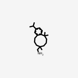 CC(C)c1ccc2c(c1)CCCC(C)(CN)CCCC2(C)C